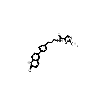 Cc1ncc(C(=O)NCCCc2ccc(-c3ccc4[nH]c(=O)ccc4c3)cc2)s1